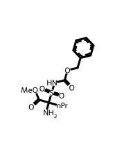 CCCC(N)(C(=O)OC)S(=O)(=O)NC(=O)OCc1ccccc1